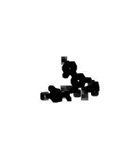 Cc1cc([C@H](C)NC(=O)c2cc(Cn3ccoc3=N)cc(-c3ccc(F)cc3C)c2)ccc1Cl